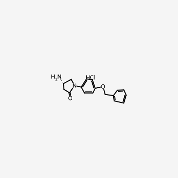 Cl.N[C@H]1CC(=O)N(c2ccc(OCc3ccccc3)cc2)C1